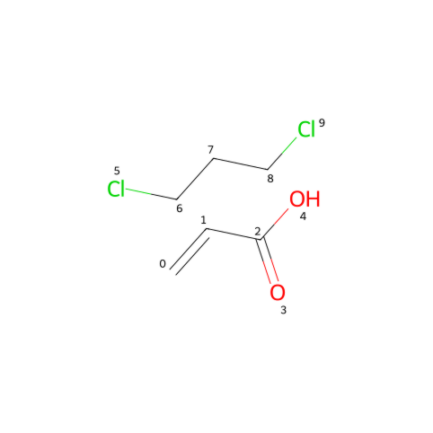 C=CC(=O)O.ClCCCCl